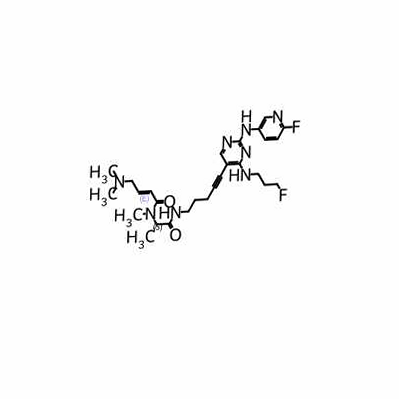 C[C@@H](C(=O)NCCCC#Cc1cnc(Nc2ccc(F)nc2)nc1NCCCF)N(C)C(=O)/C=C/CN(C)C